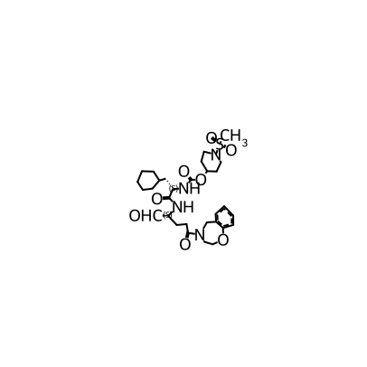 CS(=O)(=O)N1CCC(OC(=O)N[C@@H](CC2CCCCC2)C(=O)N[C@H](C=O)CCC(=O)N2CCOc3ccccc3C2)CC1